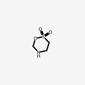 O=S1(=O)CCNCO1